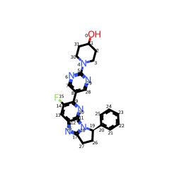 OC1CCN(c2ncc(-c3nc4c(cc3F)nc3n4[C@@H](c4ccccc4)CC3)cn2)CC1